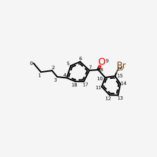 CCCCc1ccc(C(=O)c2ccccc2Br)cc1